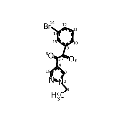 CCn1cc(C(=O)C(=O)c2cccc(Br)c2)cn1